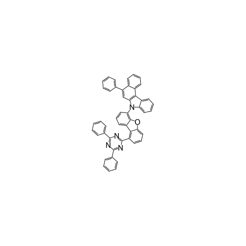 c1ccc(-c2nc(-c3ccccc3)nc(-c3cccc4oc5c(-n6c7ccccc7c7c8ccccc8c(-c8ccccc8)cc76)cccc5c34)n2)cc1